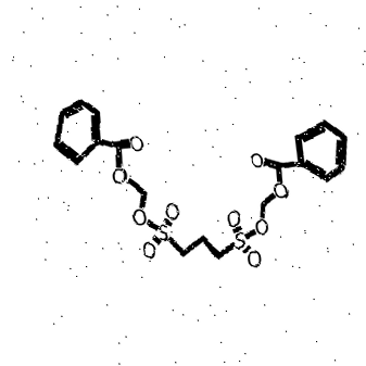 O=C(OCOS(=O)(=O)CCCS(=O)(=O)OCOC(=O)c1ccccc1)c1ccccc1